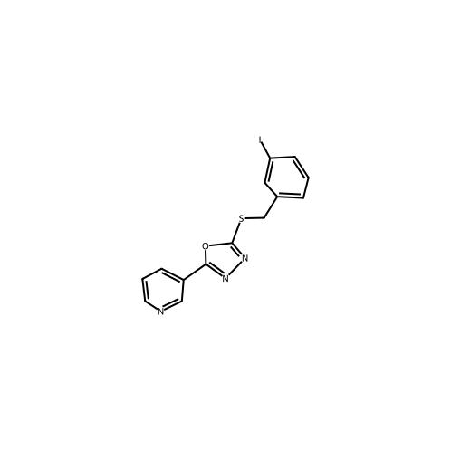 Ic1cccc(CSc2nnc(-c3cccnc3)o2)c1